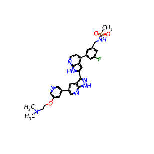 CN(C)CCOc1cncc(-c2cnc3[nH]nc(-c4cc5c(-c6cc(F)cc(CNS(C)(=O)=O)c6)ccnc5[nH]4)c3c2)c1